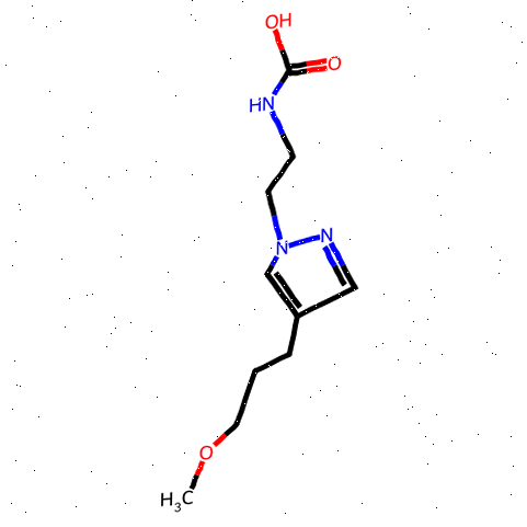 COCCCc1cnn(CCNC(=O)O)c1